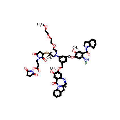 COCCOCCOCCN(CC(C)(C)SC1CC(=O)N(CCC(=O)ON2C(=O)CCC2=O)C1=O)c1cc(COc2cc3c(cc2OC)C(=O)N2c4ccccc4C[C@H]2C=N3)cc(COc2cc(NF)c(C(=O)N3CCc4ccccc43)cc2OC)c1